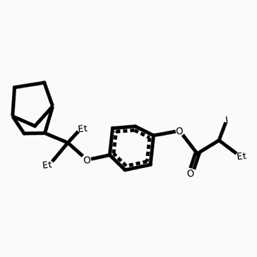 CCC(I)C(=O)Oc1ccc(OC(CC)(CC)C2CC3CCC2C3)cc1